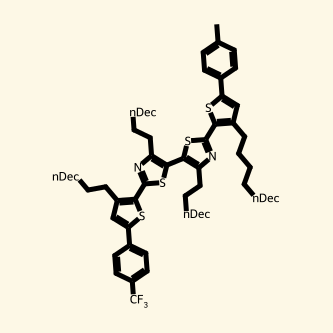 CCCCCCCCCCCCCCc1cc(-c2ccc(C)cc2)sc1-c1nc(CCCCCCCCCCCC)c(-c2sc(-c3sc(-c4ccc(C(F)(F)F)cc4)cc3CCCCCCCCCCCC)nc2CCCCCCCCCCCC)s1